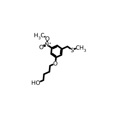 CO[N+](=O)c1cc(CSC)cc(OCCCCO)c1